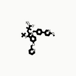 COc1ccc(-c2ccc(Cn3c(CC(C)(C)C(=O)[O-])c(SC(C)(C)C)c4cc(OCc5ccccn5)ccc43)cc2)cn1.[K+]